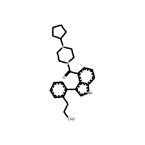 O=CCCc1ccccc1-c1c[nH]c2cccc(C(=O)N3CCN(C4CCCC4)CC3)c12